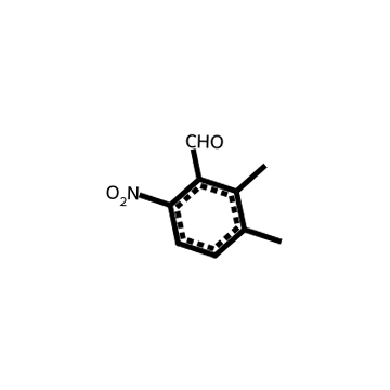 Cc1ccc([N+](=O)[O-])c(C=O)c1C